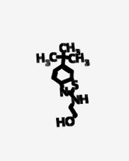 CC(C)(C)C1=CC2SC(NCCO)=NC2C=C1